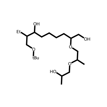 CCC(COC(C)(C)C)C(O)CCCCC(CO)OCC(C)OCC(C)O